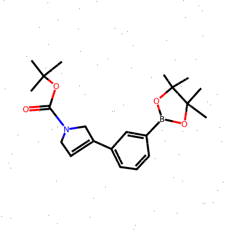 CC(C)(C)OC(=O)N1CC=C(c2cccc(B3OC(C)(C)C(C)(C)O3)c2)C1